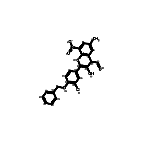 Cc1cc2c(c([N+](=O)[O-])c1)OC(c1ccc(OCc3ccccc3)c(Cl)c1)=C(O)C2C=O